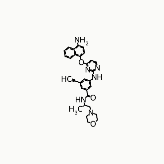 C#Cc1cc(Nc2nccc(Oc3ccc(N)c4ccccc34)n2)cc(C(=O)N[C@H](C)CN2CCOCC2)c1